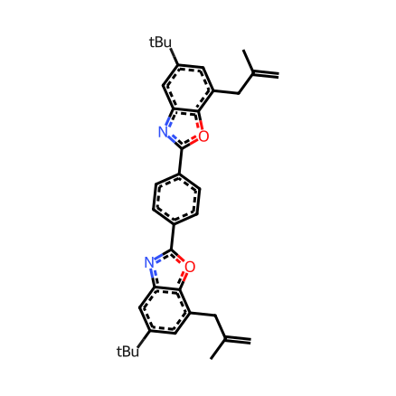 C=C(C)Cc1cc(C(C)(C)C)cc2nc(-c3ccc(-c4nc5cc(C(C)(C)C)cc(CC(=C)C)c5o4)cc3)oc12